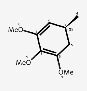 COC1=C[C@@H](C)CC(OC)=C1OC